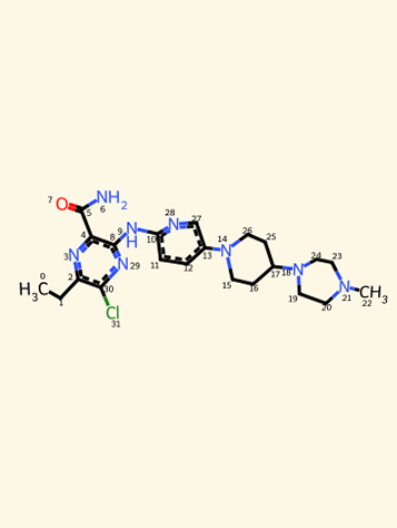 CCc1nc(C(N)=O)c(Nc2ccc(N3CCC(N4CCN(C)CC4)CC3)cn2)nc1Cl